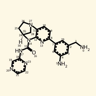 NCc1cc(N)cc(-c2ccc3c(n2)N(C(=O)Nc2cnccn2)[C@H]2CCN3C2)c1